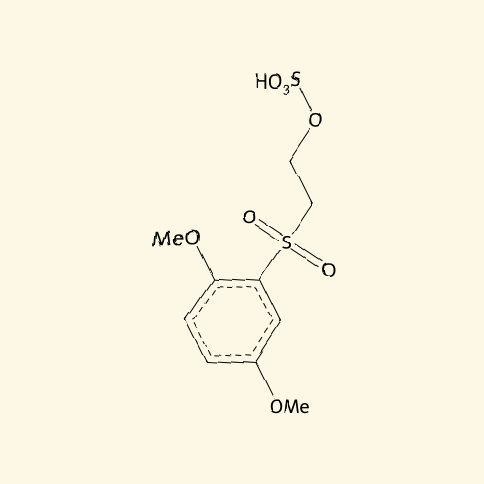 COc1ccc(OC)c(S(=O)(=O)CCOS(=O)(=O)O)c1